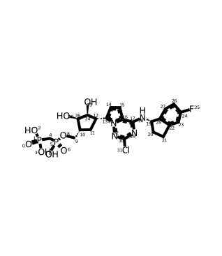 O=P(O)(O)CP(=O)(O)OC[C@H]1C[C@@H](c2ccc3c(N[C@H]4CCc5cc(F)ccc54)nc(Cl)nn23)[C@H](O)[C@@H]1O